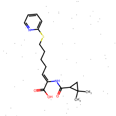 CC1(C)CC1C(=O)NC(=CCCCCSc1ccccn1)C(=O)O